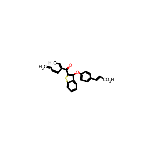 C=C/C=C\C(=C/C)C(=O)c1sc2ccccc2c1Oc1ccc(/C=C/C(=O)O)cc1